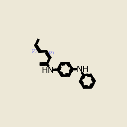 C=C(/C=C\C=C/C)Nc1ccc(Nc2ccccc2)cc1